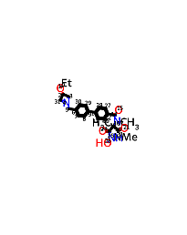 CCOC1CN(Cc2ccc(-c3ccc(C(=O)N(C)[C@@](C)(C(=O)NC)C(=O)NO)cc3)cc2)C1